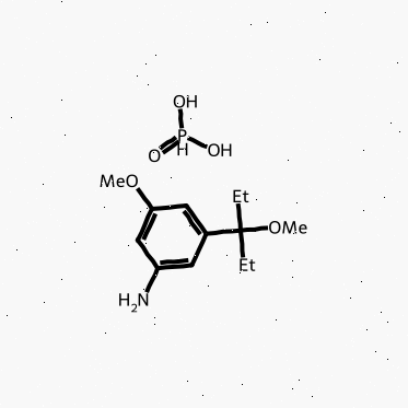 CCC(CC)(OC)c1cc(N)cc(OC)c1.O=[PH](O)O